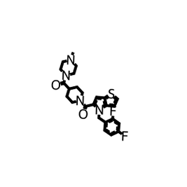 CN1CCN(C(=O)C2CCN(C(=O)c3cc4sccc4n3Cc3ccc(F)cc3F)CC2)CC1